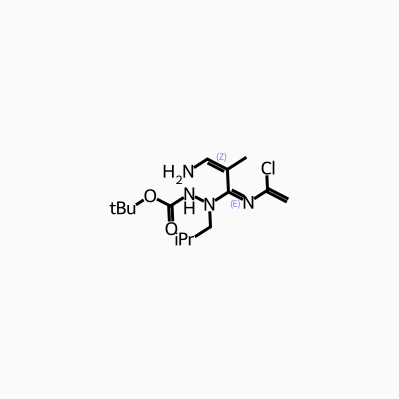 C=C(Cl)/N=C(\C(C)=C/N)N(CC(C)C)NC(=O)OC(C)(C)C